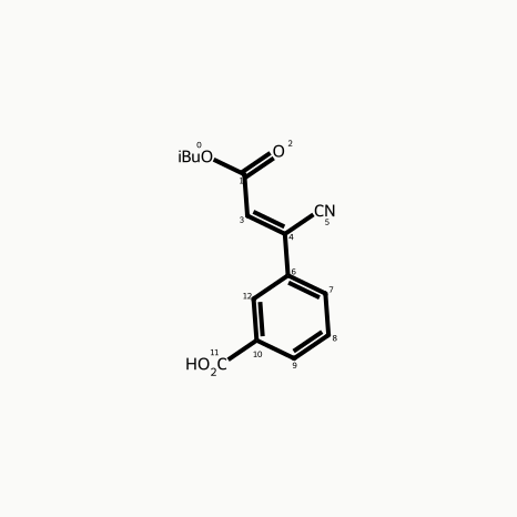 CC(C)COC(=O)C=C(C#N)c1cccc(C(=O)O)c1